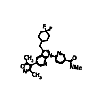 CNC(=O)c1ccc(-n2cc(CC3CCC(F)(F)CC3)c3cc(-c4c(C)noc4C)cnc32)nc1